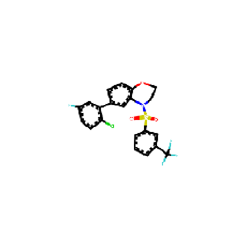 O=S(=O)(c1cccc(C(F)(F)F)c1)N1CCOc2ccc(-c3cc(F)ccc3Cl)cc21